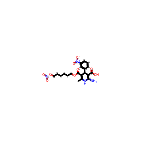 CC1=C(C(=O)OCCCCCCO[N+](=O)[O-])C(c2cccc([N+](=O)[O-])c2)C(C(=O)O)=C(N)N1